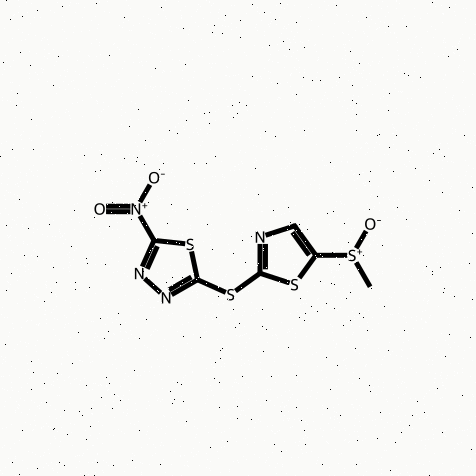 C[S+]([O-])c1cnc(Sc2nnc([N+](=O)[O-])s2)s1